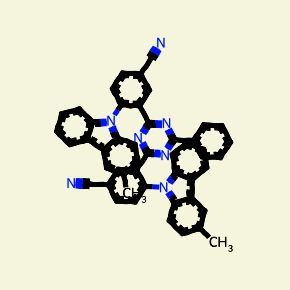 Cc1ccc2c(c1)c1ccccc1n2-c1ccc(C#N)cc1-c1nc(-c2ccccc2)nc(-c2cc(C#N)ccc2-n2c3ccccc3c3cc(C)ccc32)n1